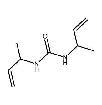 C=CC(C)NC(=O)NC(C)C=C